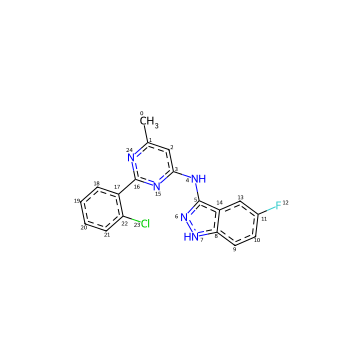 Cc1cc(Nc2n[nH]c3ccc(F)cc23)nc(-c2ccccc2Cl)n1